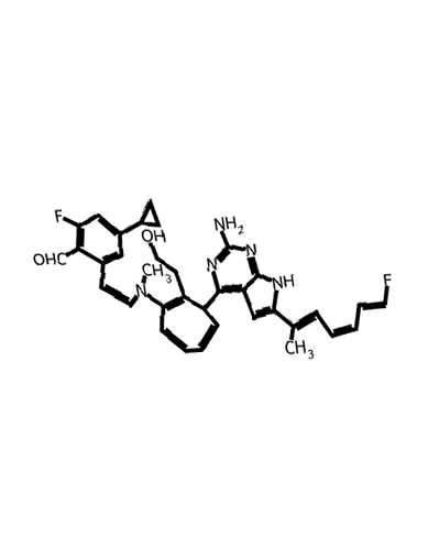 C\C(=C/C=C\C=C\F)c1cc2c(C3C=CC=CC(N(C)/C=C\c4cc(C5CC5)cc(F)c4C=O)=C3CCO)nc(N)nc2[nH]1